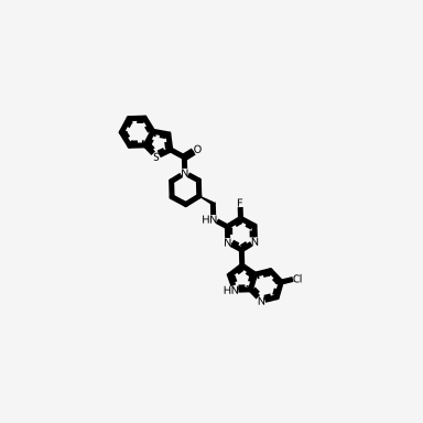 O=C(c1cc2ccccc2s1)N1CCC[C@H](CNc2nc(-c3c[nH]c4ncc(Cl)cc34)ncc2F)C1